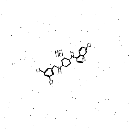 Cl.Cl.Clc1cc(Cl)cc(CN[C@H]2CC[C@@H](Nc3ccnc4cc(Cl)ccc34)CC2)c1